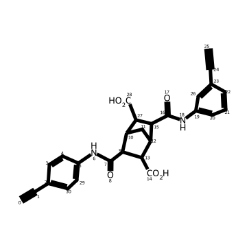 C#Cc1ccc(NC(=O)C2C3CC(C2C(=O)O)C(C(=O)Nc2cccc(C#C)c2)C3C(=O)O)cc1